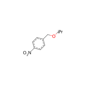 CC(C)OCc1ccc([N+](=O)[O-])cc1